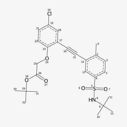 Cc1ccc(S(=O)(=O)NC(C)(C)C)cc1C#Cc1cc(Cl)ccc1OCC(=O)OC(C)(C)C